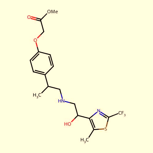 COC(=O)COc1ccc(C(C)CNCC(O)c2nc(C(F)(F)F)sc2C)cc1